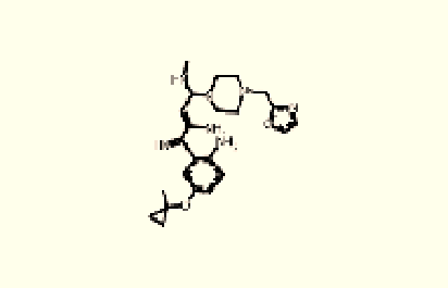 CNC(/C=C(\N)C(=N)c1cc(OC2(C)CC2)ccc1N)N1CCN(Cc2ncco2)CC1